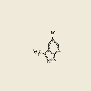 Cc1nsc2ncc(Br)cc12